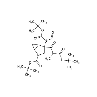 CN(C(=O)OC(C)(C)C)C(=O)C1(N(C=O)C(=O)OC(C)(C)C)CN(C(=O)OC(C)(C)C)C2CC21